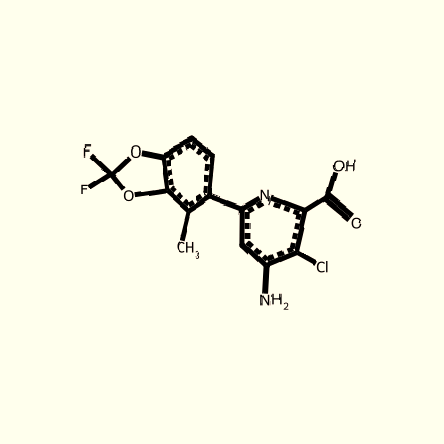 Cc1c(-c2cc(N)c(Cl)c(C(=O)O)n2)ccc2c1OC(F)(F)O2